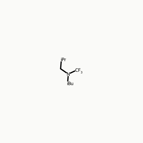 CCC(C)N(CC(C)C)C(F)(F)F